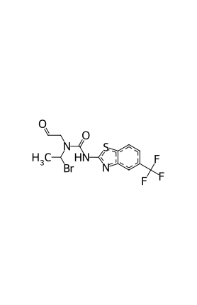 CC(Br)N(CC=O)C(=O)Nc1nc2cc(C(F)(F)F)ccc2s1